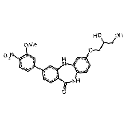 COc1cc(-c2ccc3c(c2)Nc2cc(OCC(O)CO)ccc2NC3=O)ccc1[N+](=O)[O-]